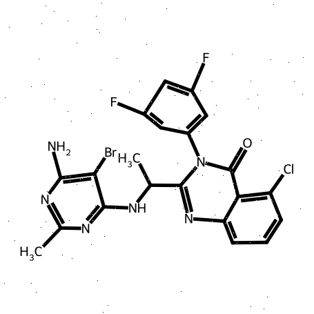 Cc1nc(N)c(Br)c(NC(C)c2nc3cccc(Cl)c3c(=O)n2-c2cc(F)cc(F)c2)n1